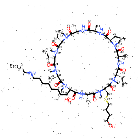 CCOC(=O)CNCCCCCC[C@@H](C)[C@@H](O)[C@H]1C(=O)N[C@@H](CC)C(=O)N(C)[C@H](CSCCCCO)C(=O)N(C)[C@@H](CC(C)C)C(=O)N[C@H](C(C)C)C(=O)N(C)[C@H](CC(C)C)C(=O)N[C@H](C)C(=O)N[C@@H](C)C(=O)N(C)[C@@H](CC(C)C)C(=O)N(C)[C@@H](CC(C)C)C(=O)N(C)[C@@H](C(C)C)C(=O)N1C